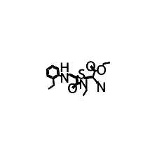 CCOC(=O)C(C#N)=c1sc(=CNc2ccccc2CC)c(=O)n1CC